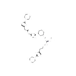 N/N=C(/NOCCc1csc(N2CCOCC2)n1)SC[C@H]1CCC[C@H](c2nnc(NC(=O)Cc3csc(N4CCOCC4)n3)s2)C1